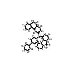 CC1(C)c2ccccc2-c2c(N(c3ccc(-c4ccccc4)cc3)c3ccc4ccc5ccccc5c4c3)cccc21